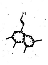 [CH2]C/C=C/c1cc(C)c(C)c2c(C)cc(C)cc12